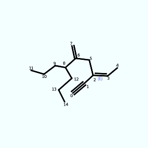 C#C/C(=C/C)CC(=C)C(CCC)CCC